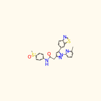 Cc1cccc(-n2nc(CC(=O)Nc3ccc([S+](C)[O-])cc3)cc2-c2ccc3ncsc3c2)n1